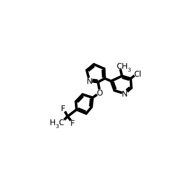 Cc1c(Cl)cncc1-c1cccnc1Oc1ccc(C(C)(F)F)cc1